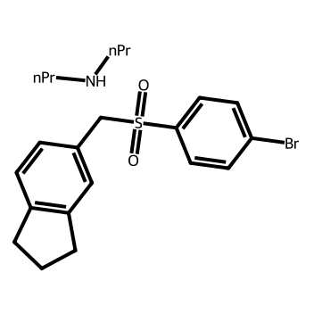 CCCNCCC.O=S(=O)(Cc1ccc2c(c1)CCC2)c1ccc(Br)cc1